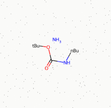 CCCCNC(=O)OC(C)(C)C.N